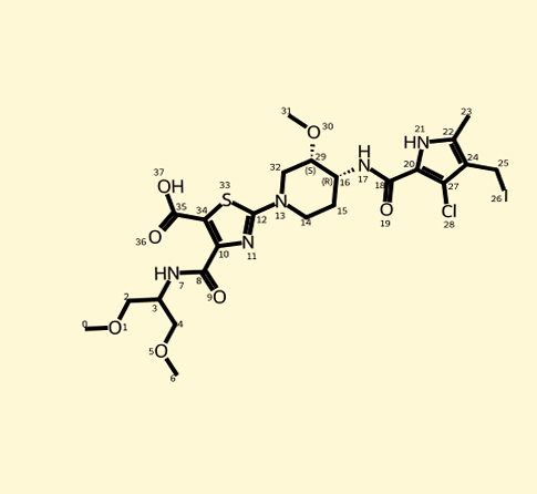 COCC(COC)NC(=O)c1nc(N2CC[C@@H](NC(=O)c3[nH]c(C)c(CI)c3Cl)[C@@H](OC)C2)sc1C(=O)O